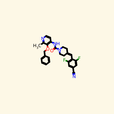 Cc1nccc(NC(=O)N2CCC(=Cc3c(F)cc(C#N)cc3F)CC2)c1OCc1ccccc1